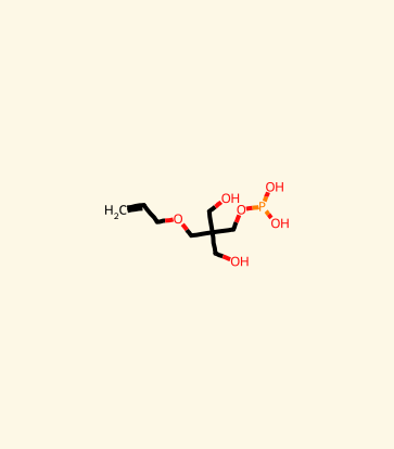 C=CCOCC(CO)(CO)COP(O)O